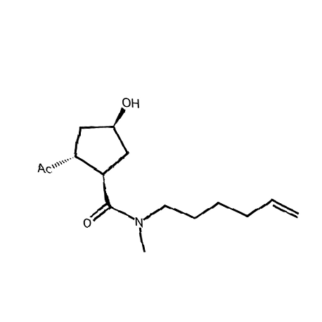 C=CCCCCN(C)C(=O)[C@@H]1C[C@H](O)C[C@H]1C(C)=O